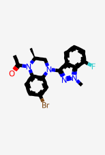 CC(=O)N1c2ccc(Br)cc2N(c2nn(C)c3c(F)cccc23)C[C@@H]1C